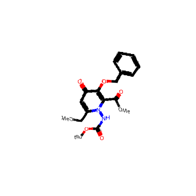 COCc1cc(=O)c(OCc2ccccc2)c(C(=O)OC)n1NC(=O)OC(C)(C)C